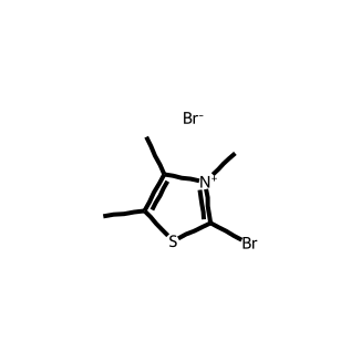 Cc1sc(Br)[n+](C)c1C.[Br-]